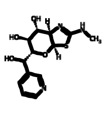 CNC1=N[C@@H]2[C@@H](O)[C@H](O)[C@@H](C(O)c3cccnc3)O[C@@H]2S1